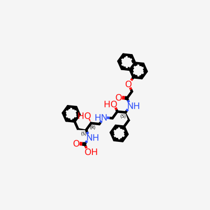 O=C(O)N[C@@H](Cc1ccccc1)[C@H](O)CNCC(O)[C@H](Cc1ccccc1)NC(=O)COc1cccc2ccccc12